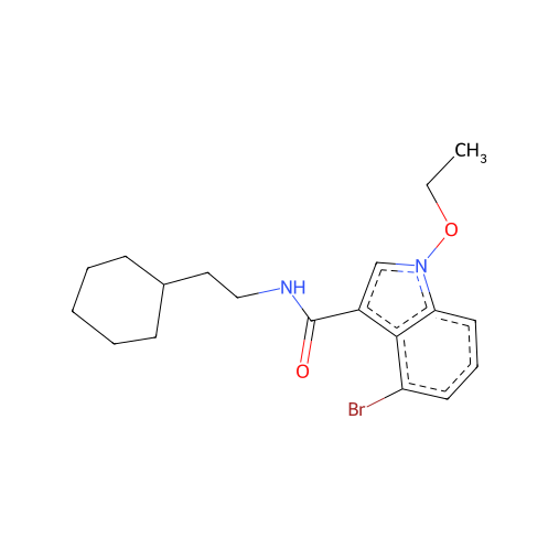 CCOn1cc(C(=O)NCCC2CCCCC2)c2c(Br)cccc21